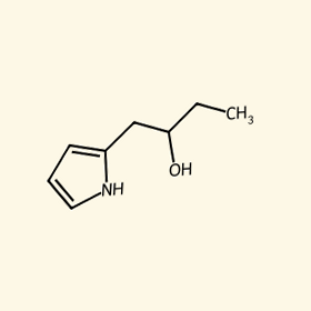 CCC(O)Cc1ccc[nH]1